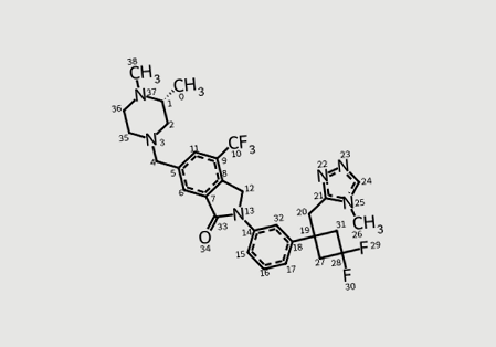 C[C@@H]1CN(Cc2cc3c(c(C(F)(F)F)c2)CN(c2cccc(C4(Cc5nncn5C)CC(F)(F)C4)c2)C3=O)CCN1C